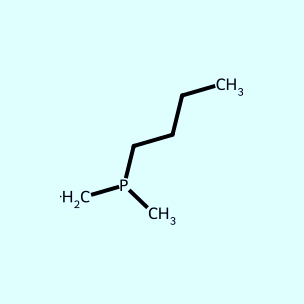 [CH2]P(C)CCCC